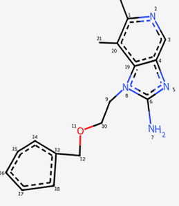 Cc1ncc2nc(N)n(CCOCc3ccccc3)c2c1C